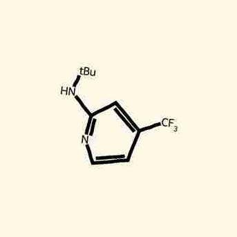 CC(C)(C)Nc1cc(C(F)(F)F)ccn1